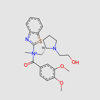 COc1ccc(C(=O)[N+](C)(C[C@@H]2CCCN2CCO)c2nc3ccccc3s2)cc1OC